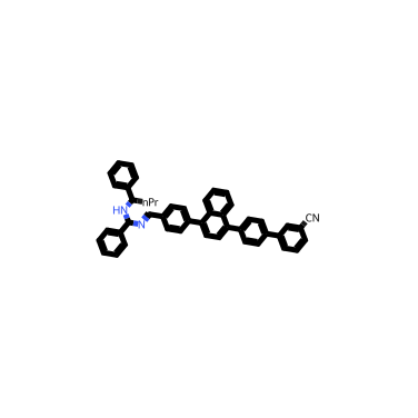 CCCC(NC(/N=C/c1ccc(-c2ccc(-c3ccc(-c4cccc(C#N)c4)cc3)c3ccccc23)cc1)c1ccccc1)c1ccccc1